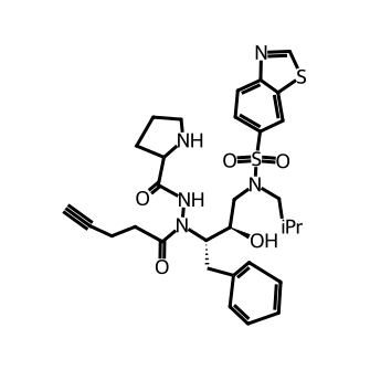 C#CCCC(=O)N(NC(=O)C1CCCN1)[C@@H](Cc1ccccc1)[C@H](O)CN(CC(C)C)S(=O)(=O)c1ccc2ncsc2c1